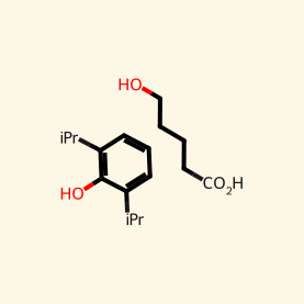 CC(C)c1cccc(C(C)C)c1O.O=C(O)CCCCO